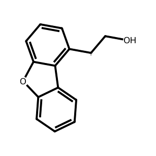 OC[CH]c1cccc2oc3ccccc3c12